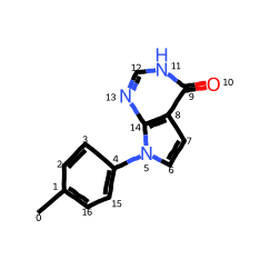 Cc1ccc(-n2ccc3c(=O)[nH]cnc32)cc1